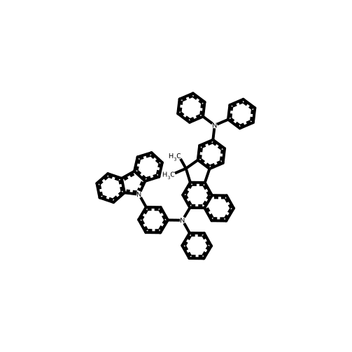 CC1(C)c2cc(N(c3ccccc3)c3ccccc3)ccc2-c2c1cc(N(c1ccccc1)c1cccc(-n3c4ccccc4c4ccccc43)c1)c1ccccc21